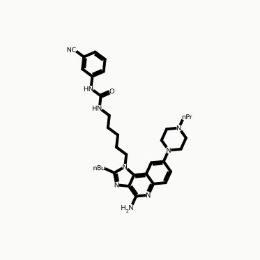 CCCCc1nc2c(N)nc3ccc(N4CCN(CCC)CC4)cc3c2n1CCCCCNC(=O)Nc1cccc(C#N)c1